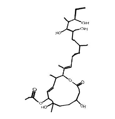 CCC(O)C(C)C(O)C(O)CC(C)CC/C=C(\C)C1OC(=O)CC(O)CCC(C)(O)C(OC(C)=O)/C=C/C1C